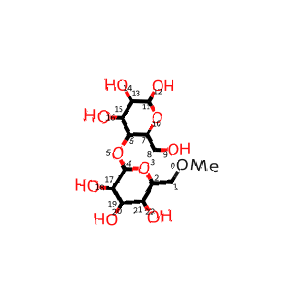 COCC1OC(OC2C(CO)OC(O)C(O)C2O)C(O)C(O)C1O